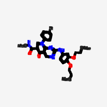 CCc1ccc(-n2cc(C(=O)NOC)c(=O)c3cnc(Nc4ccc(OCCOC)c(OCCOC)c4)nc32)cc1